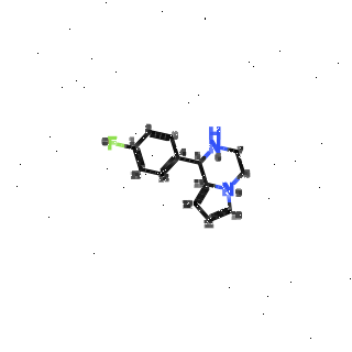 Fc1ccc(C2NCCn3cccc32)cc1